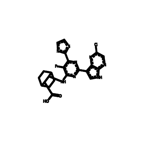 O=C(O)C1C2CCC(CC2)C1Nc1nc(-c2c[nH]c3ncc(Cl)nc23)nc(-c2nccs2)c1F